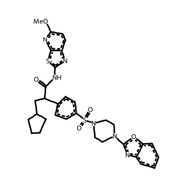 COc1ccc2nc(NC(=O)C(CC3CCCC3)c3ccc(S(=O)(=O)N4CCN(c5nc6ccccc6o5)CC4)cc3)sc2n1